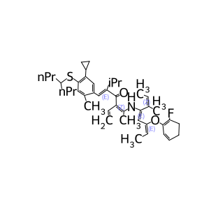 C=C/C(C(=O)/C(=C/c1cc(C2CC2)c(SC(CCC)CCC)cc1C)C(C)C)=C(\C)NC(=C/C(=C\C)OC1=C(F)CCC=C1)/C(C)=C\C